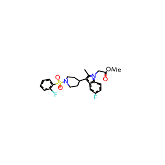 COC(=O)Cn1c(C)c(C2CCN(S(=O)(=O)c3ccccc3F)CC2)c2cc(F)ccc21